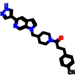 N#Cc1ccc(CCC(=O)N2CCC(Cn3ccc4cc(-c5cn[nH]c5)ncc43)CC2)cc1